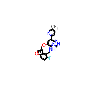 Fc1ccc2c3c1CNc1c(cc(-c4ccc(C(F)(F)F)cn4)c4nncn14)OC[C@H]3CO2